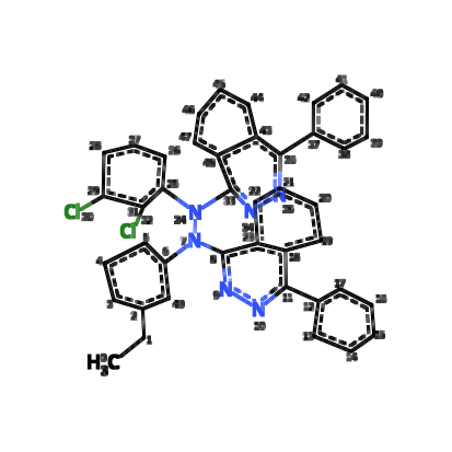 CCc1cccc(N(c2nnc(-c3ccccc3)c3ccccc23)N(c2cccc(Cl)c2Cl)c2nnc(-c3ccccc3)c3ccccc23)c1